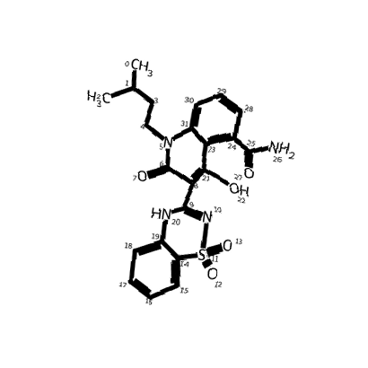 CC(C)CCn1c(=O)c(C2=NS(=O)(=O)c3ccccc3N2)c(O)c2c(C(N)=O)[c]ccc21